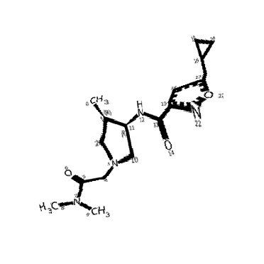 C[C@@H]1CN(CC(=O)N(C)C)C[C@@H]1NC(=O)c1cc(C2CC2)on1